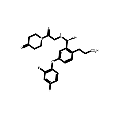 CC(C)[C@H](NCC(=O)N1CCC(=O)CC1)c1cc(Oc2ccc(F)cc2F)ccc1CCC(=O)O